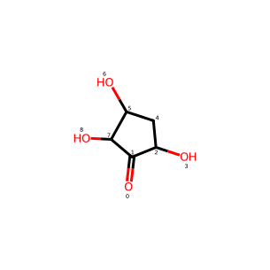 O=C1C(O)CC(O)C1O